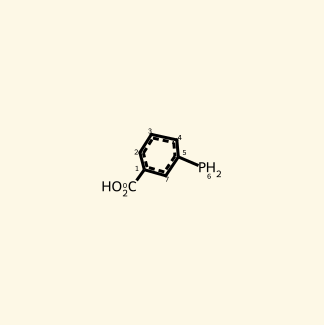 O=C(O)c1cccc(P)c1